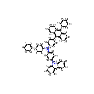 c1ccc(-c2ccc(N(c3ccc(-c4c5ccccc5c(-c5ccccc5)c5ccccc45)cc3)c3ccc(-n4c5ccccc5c5ccccc54)cc3)cc2)cc1